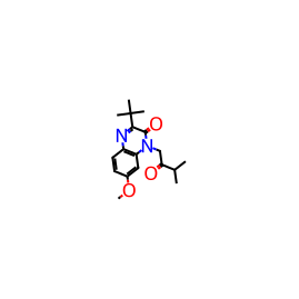 COc1ccc2nc(C(C)(C)C)c(=O)n(CC(=O)C(C)C)c2c1